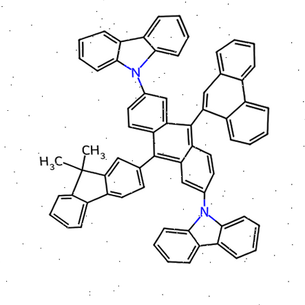 CC1(C)c2ccccc2-c2ccc(-c3c4cc(-n5c6ccccc6c6ccccc65)ccc4c(-c4cc5ccccc5c5ccccc45)c4cc(-n5c6ccccc6c6ccccc65)ccc34)cc21